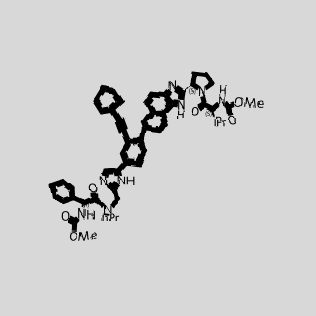 CCCN(Cc1ncc(-c2ccc(-c3ccc4c(ccc5nc([C@@H]6CCCN6C(=O)[C@@H](NC(=O)OC)C(C)C)[nH]c54)c3)c(C#Cc3ccccc3)c2)[nH]1)C(=O)[C@H](NC(=O)OC)c1ccccc1